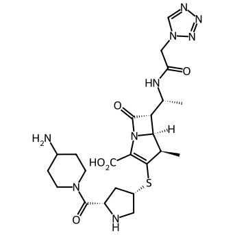 C[C@@H](NC(=O)Cn1cnnn1)[C@H]1C(=O)N2C(C(=O)O)=C(S[C@@H]3CN[C@H](C(=O)N4CCC(N)CC4)C3)[C@H](C)[C@H]12